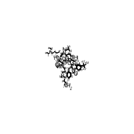 CCN(CC)CCCC[C@H](NC(=O)[C@H](CC(C)C)NC(=O)[C@H](C)NC(=O)[C@H](Cc1ccccc1)N(C=O)c1ccc(C(C)(C)C)cc1)C(=O)N[C@@H](CO)C(=O)NCCCN(C)CCCN